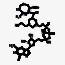 CCN(C1=C(\NC)COCN/C(N)=N\1)C1CN(CCO)C[C@@H](COP(=O)(O)OP(=O)(O)OP(=O)(O)OCC2OC(n3cnc4c(=O)[nH]c(N)nc43)[C@H](O)[C@@H]2O)O1